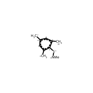 CNSc1c(C)cc(C)cc1C